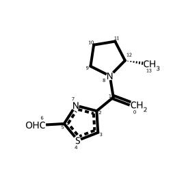 C=C(c1csc(C=O)n1)N1CCC[C@@H]1C